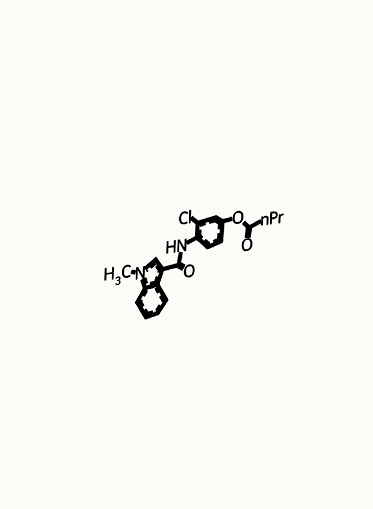 CCCC(=O)Oc1ccc(NC(=O)c2cn(C)c3ccccc23)c(Cl)c1